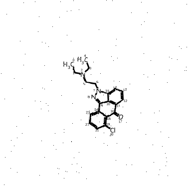 CCN(CC)CCn1nc2c3c(cccc31)C(=O)c1c(Cl)cccc1-2